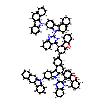 c1ccc2cc3c(cc2c1)c1ccccc1n3-c1ccc2c3c4ccc(-c5cc(-c6nc(-n7c8cc(-n9c%10ccccc%10c%10ccc%11ccccc%11c%109)ccc8c8c9ccccc9ccc87)nc7ccccc67)c6c(c5)oc5ccccc56)cc4ccc3n(-c3nc4ccccc4nc3-c3cccc4oc5ccccc5c34)c2c1